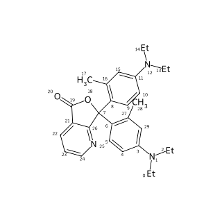 CCN(CC)c1ccc(C2(c3ccc(N(CC)CC)cc3C)OC(=O)c3cccnc32)c(C)c1